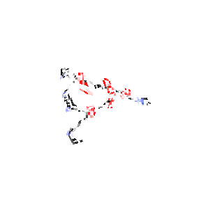 CC/C=C\CCCC(CCC/C=C\CC)OC(=O)CCCCC(=O)OCC(COC(=O)CCCCC(=O)OC(CCC/C=C\CC)CCC/C=C\CC)COC(=O)CCCN1CCCC1